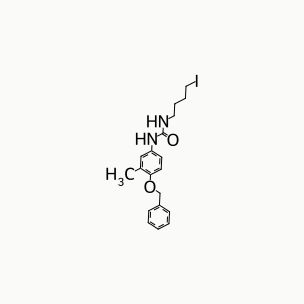 Cc1cc(NC(=O)NCCCCI)ccc1OCc1ccccc1